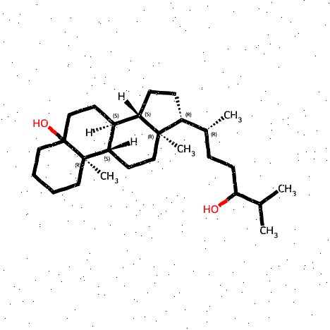 CC(C)C(O)CC[C@@H](C)[C@H]1CC[C@H]2[C@@H]3CCC4(O)CCCC[C@]4(C)[C@H]3CC[C@]12C